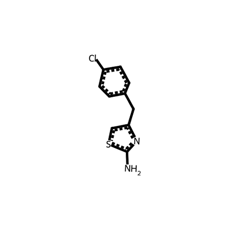 Nc1nc(Cc2ccc(Cl)cc2)cs1